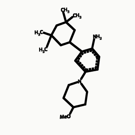 COC1CCN(c2ccc(N)c(C3CC(C)(C)CC(C)(C)C3)c2)CC1